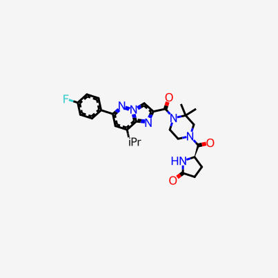 CC(C)c1cc(-c2ccc(F)cc2)nn2cc(C(=O)N3CCN(C(=O)[C@H]4CCC(=O)N4)CC3(C)C)nc12